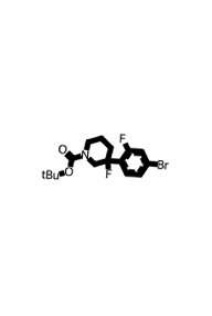 CC(C)(C)OC(=O)N1CCCC(F)(c2ccc(Br)cc2F)C1